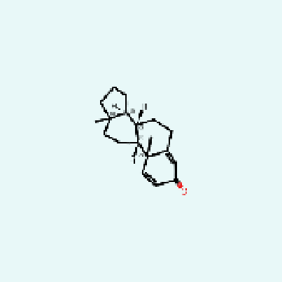 C[C@@]12CCC[C@H]1[C@@H]1CCC3=CC(=O)C=C[C@]3(C)[C@@H]1CC2